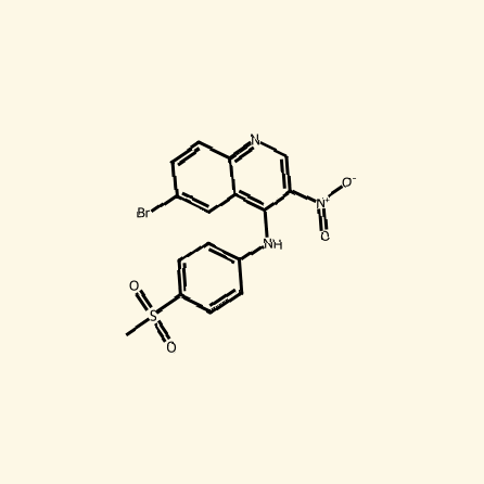 CS(=O)(=O)c1ccc(Nc2c([N+](=O)[O-])cnc3ccc(Br)cc23)cc1